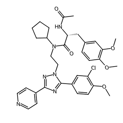 COc1ccc(-c2nc(-c3ccncc3)nn2CCN(C(=O)[C@@H](Cc2ccc(OC)c(OC)c2)NC(C)=O)C2CCCC2)cc1Cl